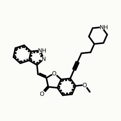 COc1ccc2c(c1C#CCCC1CCNCC1)O/C(=C\c1n[nH]c3ccccc13)C2=O